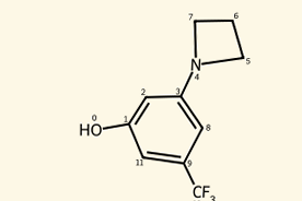 Oc1cc(N2CCC2)cc(C(F)(F)F)c1